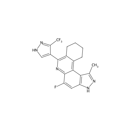 Cc1n[nH]c2cc(F)c3nc(-c4c[nH]nc4C(F)(F)F)c4c(c3c12)CCCC4